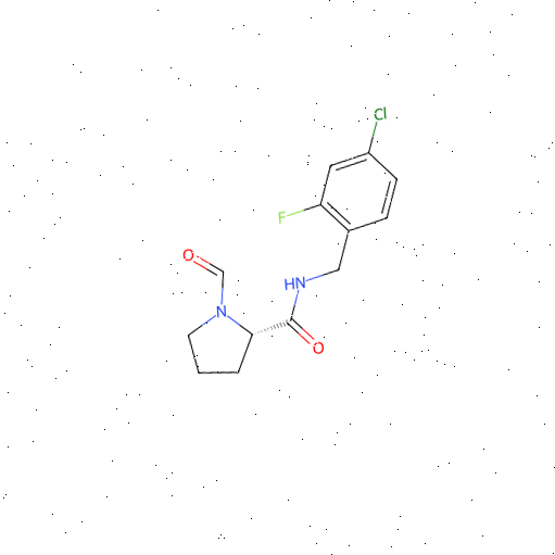 O=CN1CCC[C@H]1C(=O)NCc1ccc(Cl)cc1F